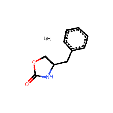 O=C1NC(Cc2ccccc2)CO1.[LiH]